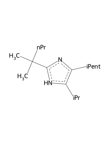 CCCC(C)c1nc(C(C)(C)CCC)[nH]c1C(C)C